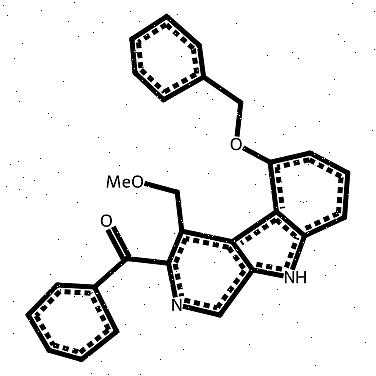 COCc1c(C(=O)c2ccccc2)ncc2[nH]c3cccc(OCc4ccccc4)c3c12